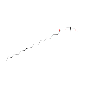 CCCCCCCCCCCCCCCCCC(=O)OCC(C)(C)CO